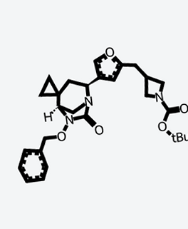 CC(C)(C)OC(=O)N1CC(Cc2cc([C@@H]3CC4(CC4)[C@H]4CN3C(=O)N4OCc3ccccc3)co2)C1